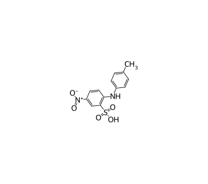 Cc1ccc(Nc2ccc([N+](=O)[O-])cc2S(=O)(=O)O)cc1